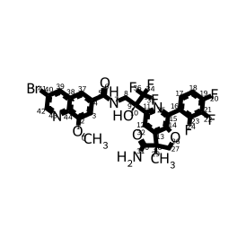 COc1cc(C(=O)NC[C@](O)(c2cc3c(c(-c4ccc(F)c(F)c4F)n2)OC[C@]3(C)C(N)=O)C(F)(F)F)cc2cc(Br)cnc12